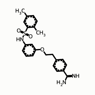 Cc1ccc(C)c(S(=O)(=O)Nc2cccc(OCCc3ccc(C(=N)N)cc3)c2)c1